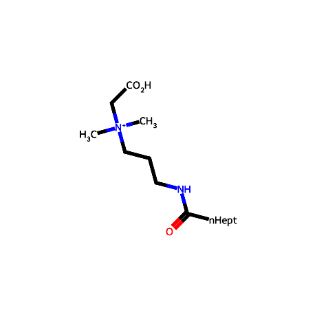 CCCCCCCC(=O)NCCC[N+](C)(C)CC(=O)O